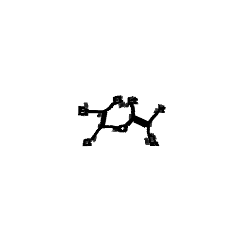 CCC(CC)=C(CC)OC(CC)=C(CC)CC